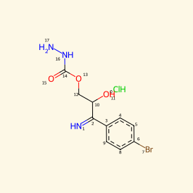 Cl.N=C(c1ccc(Br)cc1)C(O)COC(=O)NN